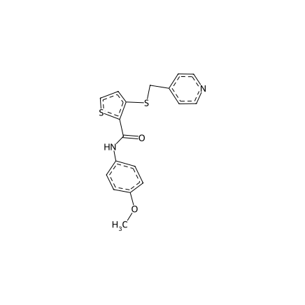 COc1ccc(NC(=O)c2sccc2SCc2ccncc2)cc1